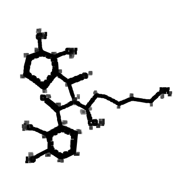 NCCCC[C@@H](C(=O)O)N(C(=O)c1cccc(O)c1O)C(=O)c1cccc(O)c1O